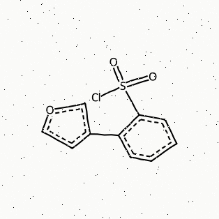 O=S(=O)(Cl)c1ccccc1-c1ccoc1